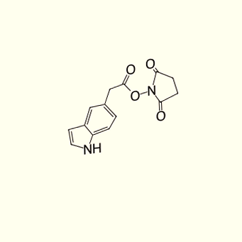 O=C(Cc1ccc2[nH]ccc2c1)ON1C(=O)CCC1=O